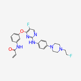 C=CC(=O)Nc1cccc(Oc2nc(Nc3ccc(N4CCN(CCF)CC4)cc3)ncc2F)c1